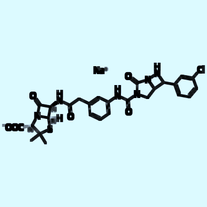 CC1(C)S[C@@H]2[C@H](NC(=O)Cc3cccc(NC(=O)N4CC5C(c6cccc(Cl)c6)NN5C4=O)c3)C(=O)N2[C@H]1C(=O)[O-].[Na+]